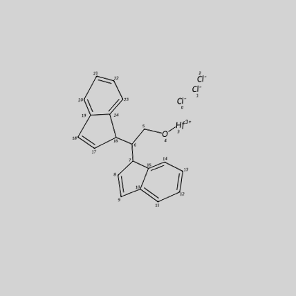 [Cl-].[Cl-].[Cl-].[Hf+3][O]CC(C1C=Cc2ccccc21)C1C=Cc2ccccc21